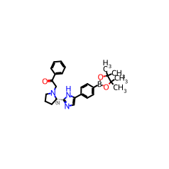 CC1(C)OB(c2ccc(-c3cnc([C@@H]4CCCN4CC(=O)c4ccccc4)[nH]3)cc2)OC1(C)C